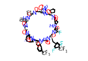 CC[C@H](C)[C@@H]1NC(=O)[C@H](CC)N(C)C(=O)C[C@@H](C(=O)N(C)C)N(C)C(=O)[C@H](C2CCCC2)N(C)C(=O)C2(CCC2)NC(=O)[C@@H]2C[C@@H](F)CN2C(=O)[C@H](CCc2cc(F)c(C(F)(F)F)c(F)c2)NC(=O)CN(C)C(=O)[C@H](Cc2ccc(C(F)(F)F)cc2)N2CC/C=C\C[C@@H](C2=O)N(C)C(=O)CN(C)C1=O